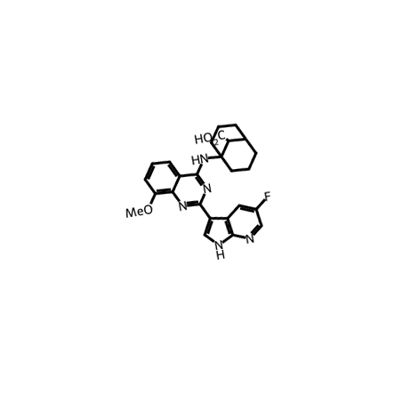 COc1cccc2c(NC34CCCC(CCC3)C4C(=O)O)nc(-c3c[nH]c4ncc(F)cc34)nc12